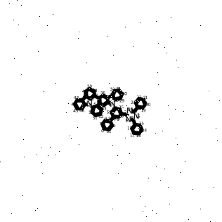 c1ccc(-c2cc(-c3nc(-c4ccccc4)nc(-c4ccccc4)n3)cc(-n3c4ccccc4c4cc(-c5cccc6c7ccccc7n(-c7ccccc7)c56)ccc43)c2)cc1